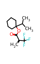 C=C(C(=O)OC1(C(C)C)CCCCC1)C(F)(F)F